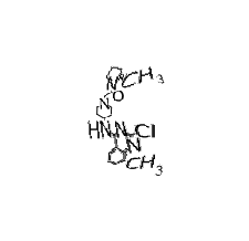 Cc1cccc2c(NC3CCN(CC(=O)N4CCC[C@H]4C)CC3)nc(Cl)nc12